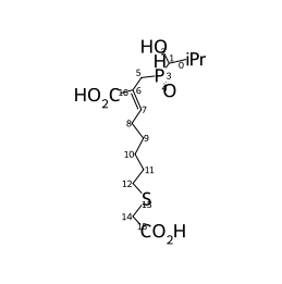 CC(C)C(O)[PH](=O)CC(=CCCCCCSCC(=O)O)C(=O)O